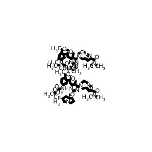 C[C@@H]1OC[C@@]2(Cc3nc(OC[C@@]45CCCN4C[C@H](F)C5)nc(N4CCCn5nc(C(=O)N(C)C)cc5C4)c3CO2)c2cc(NC(=O)OC(C)(C)C)ccc21.C[C@@H]1OC[C@@]2(Cc3nc(S(C)(=O)=O)nc(N4CCCn5nc(C(=O)N(C)C)cc5C4)c3CO2)c2cc(N(C(=O)O)C(C)(C)C)ccc21